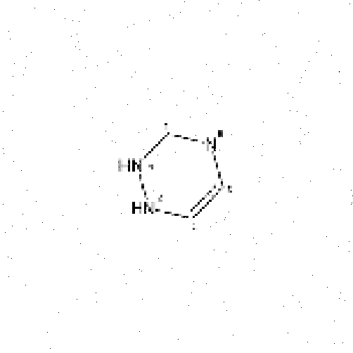 C1=CNNC[N]1